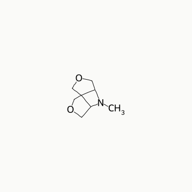 CN1C2COCC23COCC13